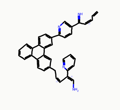 C=C/C=C\C(=N)c1ccc(-c2ccc3c4ccccc4c4ccc(C/C=C\C(=C/N)c5ccccn5)cc4c3c2)nc1